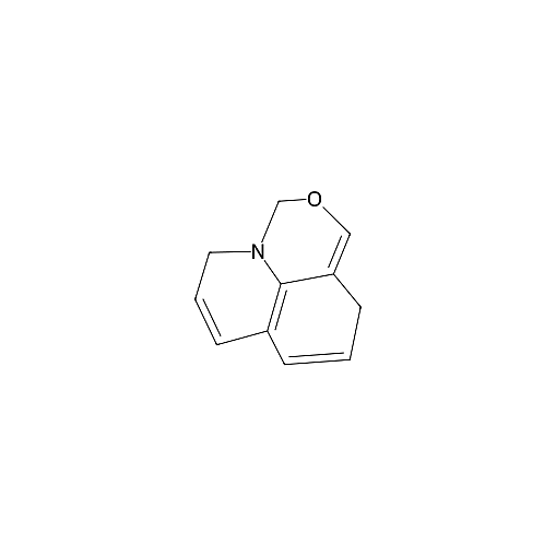 C1=CC2=C3C(=COCN3CC=C2)C1